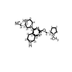 CN1CCC[C@H]1COc1nc2c(c(N3CCN[C@@H](CC#N)C3)n1)CCNC2